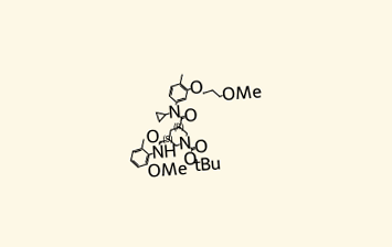 COCCCOc1cc(N(C(=O)[C@@H]2C[C@H](C(=O)Nc3c(C)cccc3OC)CN(C(=O)OC(C)(C)C)C2)C2CC2)ccc1C